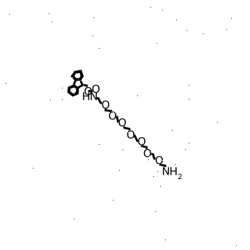 NCCOCCOCCOCCOCCOCCOCCOCCNC(=O)OCC1c2ccccc2-c2ccccc21